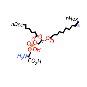 CCCCCC/C=C\CCCCCCCC(=O)OC[C@H](COP(=O)(O)OC[C@H](N)C(=O)O)OC(=O)CCCCCCCCCCCCCCC